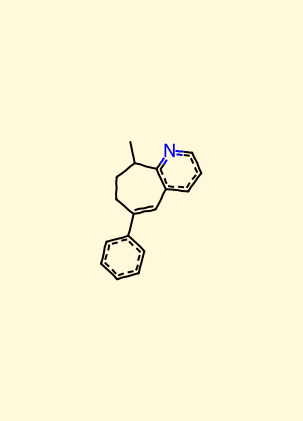 CC1CCC(c2ccccc2)=Cc2cccnc21